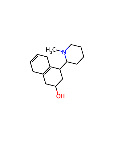 CN1CCCCC1C1CC(O)CC2=C1CC=CC2